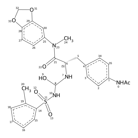 CC(=O)Nc1ccc(C[C@H](NC(O)NS(=O)(=O)c2ccccc2C)C(=O)N(C)c2ccc3c(c2)OCO3)cc1